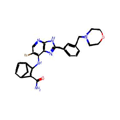 NC(=O)C1C2C=CC(C2)C1Nc1c(Br)cnc2[nH]c(-c3cccc(CN4CCOCC4)c3)nc12